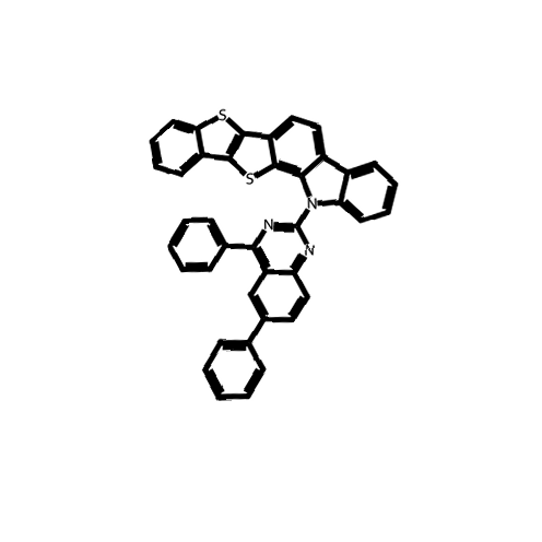 c1ccc(-c2ccc3nc(-n4c5ccccc5c5ccc6c7sc8ccccc8c7sc6c54)nc(-c4ccccc4)c3c2)cc1